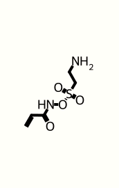 C=CC(=O)NOS(=O)(=O)CCN